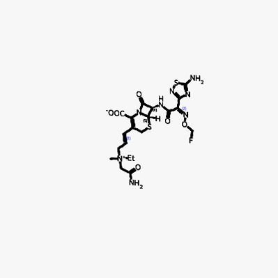 CC[N+](C)(C/C=C/C1=C(C(=O)[O-])N2C(=O)[C@@H](NC(=O)/C(=N\OCF)c3nsc(N)n3)[C@@H]2SC1)CC(N)=O